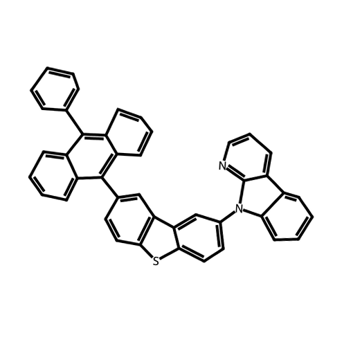 c1ccc(-c2c3ccccc3c(-c3ccc4sc5ccc(-n6c7ccccc7c7cccnc76)cc5c4c3)c3ccccc23)cc1